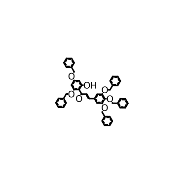 O=C(/C=C/c1cc(OCc2ccccc2)c(OCc2ccccc2)c(OCc2ccccc2)c1)c1c(O)cc(OCc2ccccc2)cc1OCc1ccccc1